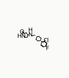 O=C1CC(NCC[C@H]2CC[C@@H](c3ccc(F)cc3Cl)CC2)CCN1